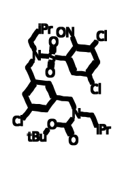 CC(C)CN(Cc1cc(Cl)cc(CN(CC(C)C)S(=O)(=O)c2cc(Cl)cc(Cl)c2N=O)c1)C(=O)OC(C)(C)C